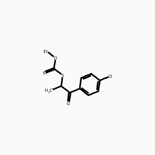 CCOC(=S)SC(C)C(=O)c1ccc(Cl)cc1